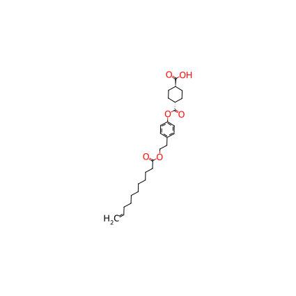 C=CCCCCCCCCC(=O)OCCc1ccc(OC(=O)[C@H]2CC[C@H](C(=O)O)CC2)cc1